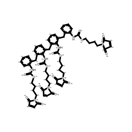 O=C(Nc1ccccc1Cc1cccc(Cc2cccc(Cc3ccccc3NC(=O)OCCCCN3C(=O)C=CC3=O)c2NC(=O)OCCCCN2C(=O)C=CC2=O)c1NC(=O)OCCCCN1C(=O)C=CC1=O)OCCCCN1C(=O)C=CC1=O